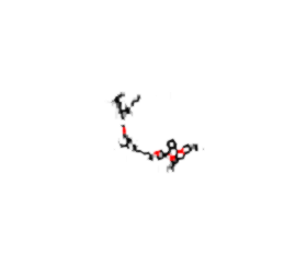 CCN(CC)c1ccc2c(c1)CC1=CC(=[N+](CC)CC)C=CC1=C2c1ccccc1C(=O)N1CCN(C(=O)CCCCC(=O)NC(CS(=O)(=O)O)C(=O)NCCCCC(=O)NC(CCP(=O)(OC(C)(C)C)OC(C)(C)C)C(=O)NCCCCC(=O)O)CC1